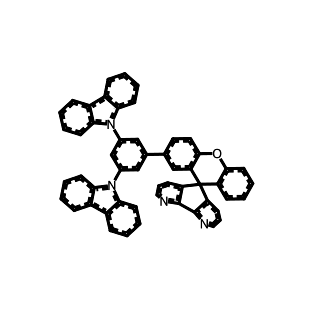 c1ccc2c(c1)Oc1ccc(-c3cc(-n4c5ccccc5c5ccccc54)cc(-n4c5ccccc5c5ccccc54)c3)cc1C21c2cccnc2-c2ncccc21